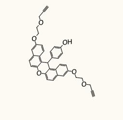 C#CCOCCOc1ccc2c3c(ccc2c1)Oc1ccc2cc(OCCOCC#C)ccc2c1C3c1ccc(O)cc1